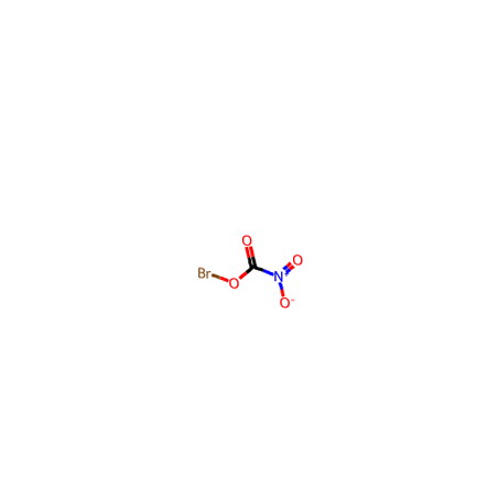 O=C(OBr)[N+](=O)[O-]